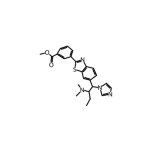 CCC(C(c1ccc2nc(-c3cccc(C(=O)OC)c3)sc2c1)n1ccnc1)N(C)C